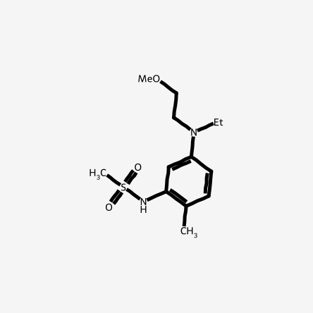 CCN(CCOC)c1ccc(C)c(NS(C)(=O)=O)c1